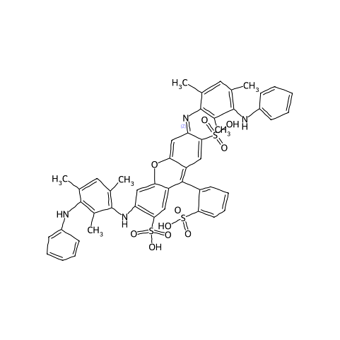 Cc1cc(C)c(Nc2ccccc2)c(C)c1/N=c1/cc2oc3cc(Nc4c(C)cc(C)c(Nc5ccccc5)c4C)c(S(=O)(=O)O)cc3c(-c3ccccc3S(=O)(=O)O)c-2cc1S(=O)(=O)O